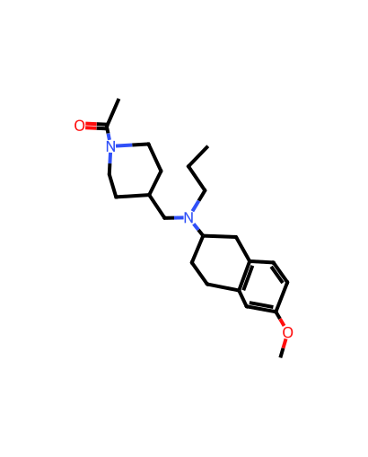 CCCN(CC1CCN(C(C)=O)CC1)C1CCc2cc(OC)ccc2C1